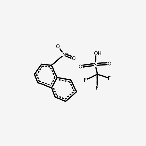 O=S(=O)(O)C(F)(F)F.O=[N+]([O-])c1cccc2ccccc12